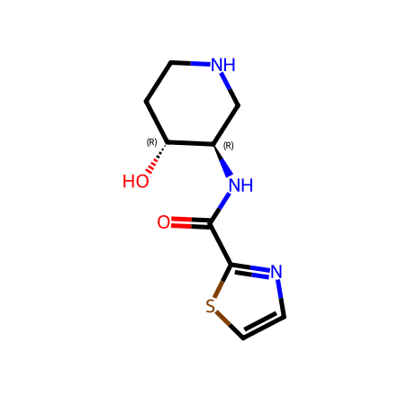 O=C(N[C@@H]1CNCC[C@H]1O)c1nccs1